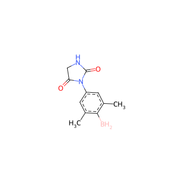 Bc1c(C)cc(N2C(=O)CNC2=O)cc1C